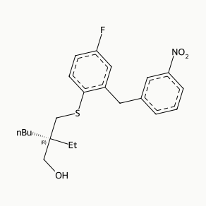 CCCC[C@](CC)(CO)CSc1ccc(F)cc1Cc1cccc([N+](=O)[O-])c1